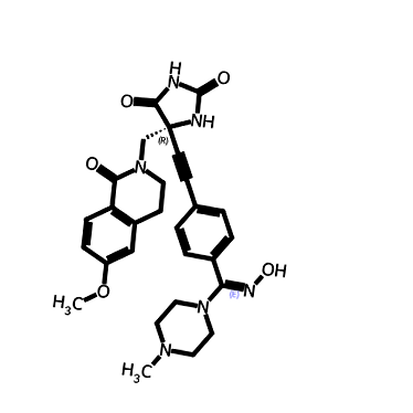 COc1ccc2c(c1)CCN(C[C@@]1(C#Cc3ccc(/C(=N\O)N4CCN(C)CC4)cc3)NC(=O)NC1=O)C2=O